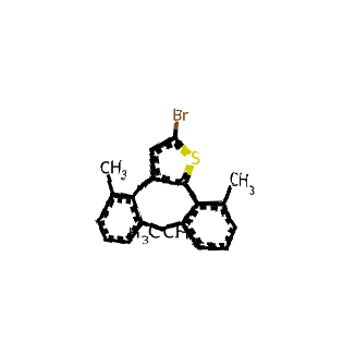 Cc1cccc(C)c1-c1cc(Br)sc1-c1c(C)cccc1C